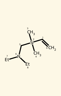 C=C[Si](C)(C)CN(CC)CC